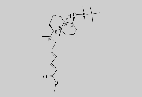 COC(=O)C=CC=CC[C@@H](C)[C@H]1CCC[C@H]2[C@@H](O[Si](C)(C)C(C)(C)C)CCC[C@]12C